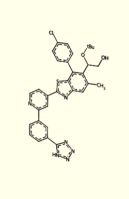 Cc1cc2nc(-c3ccnc(-c4cccc(-c5nnn[nH]5)c4)c3)sc2c(-c2ccc(Cl)cc2)c1C(CO)OC(C)(C)C